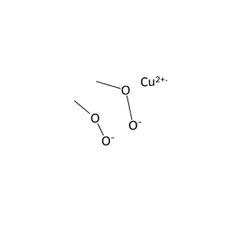 CO[O-].CO[O-].[Cu+2]